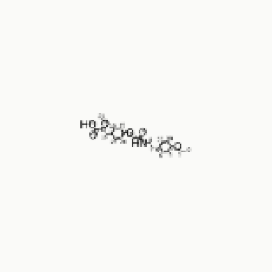 CCOc1ccc(CCNC(=O)COc2ccc(C[C@@H](OC)C(=O)O)cc2)cc1